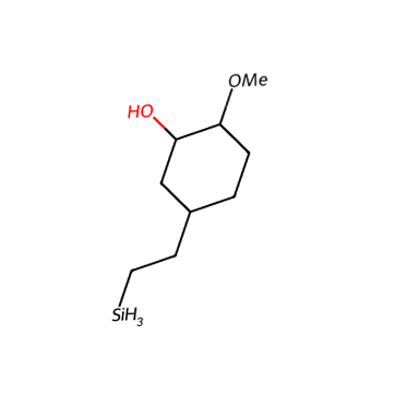 COC1CCC(CC[SiH3])CC1O